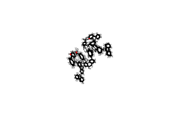 CC(Cc1ccc(-c2cc3c4c(c2)-n2c5ccc(-n6c7ccccc7c7ccccc76)cc5c5cc(-n6c7ccccc7c7ccccc76)cc(c52)B4c2cc(C(C)(C)C)ccc2O3)cc1)c1cc2c3c(c1)-n1c4ccc(-n5c6ccccc6c6ccccc65)cc4c4cc(-n5c6ccccc6c6ccccc65)cc(c41)B3c1cc(C(C)(C)C)ccc1O2